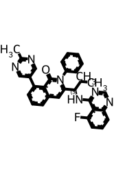 Cc1ncc(-c2cccc3cc([C@@H](Nc4ncnc5cccc(F)c45)C(C)C)n(-c4ccccc4)c(=O)c23)cn1